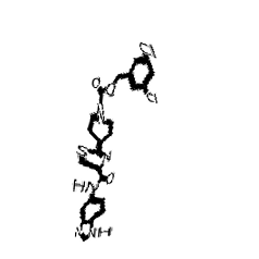 O=C(Nc1ccc2[nH]cnc2c1)c1csc(C2CCN(C(=O)OCc3cc(Cl)cc(Cl)c3)CC2)n1